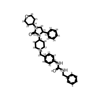 O=C(NCc1ccccc1)Nc1ccc(CN2CCC(N3C(=O)N(C4CCOCC4)CC3c3ccccc3)CC2)cc1